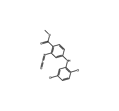 COC(=O)c1ccc(Nc2cc(Cl)ccc2Cl)cc1N=C=O